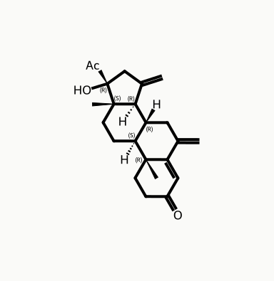 C=C1C[C@@H]2[C@H](CC[C@@]3(C)[C@H]2C(=C)C[C@]3(O)C(C)=O)[C@@]2(C)CCC(=O)C=C12